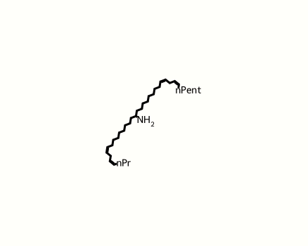 CCC/C=C\C/C=C\CCCCCCCCC(N)CCCCCCCC/C=C\C/C=C\CCCCC